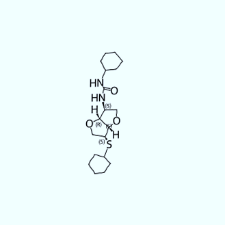 O=C(NC1CCCCC1)N[C@H]1CO[C@H]2[C@@H]1OC[C@@H]2SC1CCCCC1